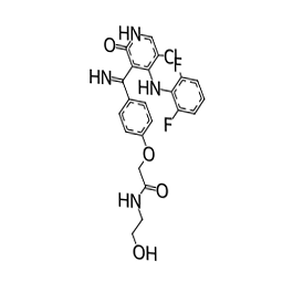 N=C(c1ccc(OCC(=O)NCCO)cc1)c1c(Nc2c(F)cccc2F)c(Cl)c[nH]c1=O